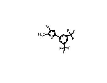 Cc1sc(-c2cc(C(F)(F)F)cc(C(F)(F)F)c2)cc1Br